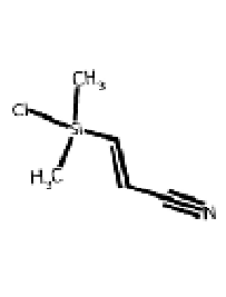 C[Si](C)(Cl)/C=C/C#N